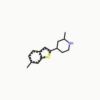 Cc1ccc2cc(C3CCNC(C)C3)sc2c1